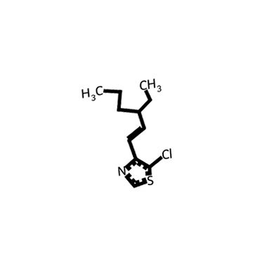 CCCC(/C=C/c1ncsc1Cl)CC